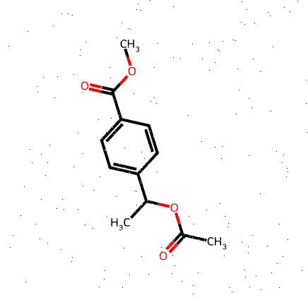 COC(=O)c1ccc(C(C)OC(C)=O)cc1